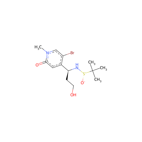 Cn1cc(Br)c([C@H](CCO)N[S@@+]([O-])C(C)(C)C)cc1=O